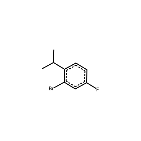 CC(C)c1ccc(F)cc1Br